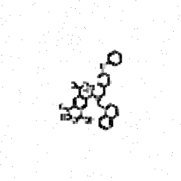 O=C(O)c1cc(C(=O)O)c(C(=O)N(Cc2ccc(Oc3ccccc3)cc2)Cc2cccc3ccccc23)cc1C(=O)O